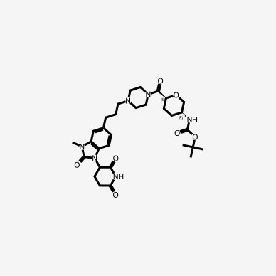 Cn1c(=O)n(C2CCC(=O)NC2=O)c2ccc(CCCN3CCN(C(=O)[C@@H]4CC[C@@H](NC(=O)OC(C)(C)C)CO4)CC3)cc21